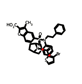 Cc1c(C(=O)O)oc2ccc(S(=O)(=O)N(CCc3ccccc3)c3ccccc3N3C4CCC3CN(C(=O)c3sccc3Br)C4)cc12